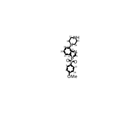 COc1ccc(S(=O)(=O)n2cnc3c(N4CCNCC4)cccc32)cc1